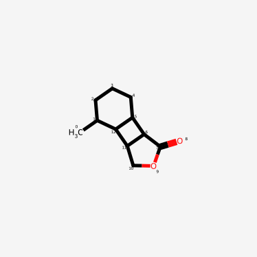 CC1CCCC2C3C(=O)OCC3C12